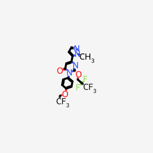 Cn1nccc1-c1cc(=O)n(-c2ccc(OCC(F)(F)F)cc2)c(OCC(F)(F)C(F)(F)F)n1